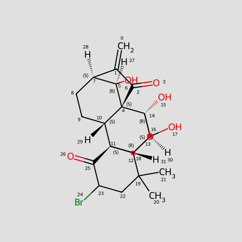 C=C1C(=O)[C@]23[C@H](O)[C@H]1CC[C@H]2[C@@]12CO[C@@]3(O)[C@@H](O)[C@@H]1C(C)(C)CC(Br)C2=O